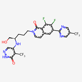 O=c1[nH]ncc(N[C@@H](CO)CCCn2ccc3cc(-c4ncc(C(F)(F)F)cn4)c(F)c(F)c3c2=O)c1C(F)(F)F